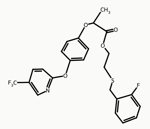 CC(Oc1ccc(Oc2ccc(C(F)(F)F)cn2)cc1)C(=O)OCCSCc1ccccc1F